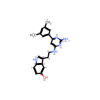 Cc1cc(C)cc(-c2cc(NCCc3c[nH]c4ccc(O)cc34)nc(N)n2)c1